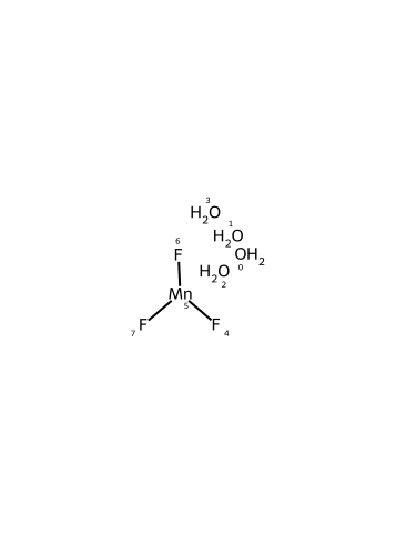 O.O.O.O.[F][Mn]([F])[F]